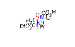 CCCC(N[C@@H](C)C(=O)N1CC2CCCCC2C1C(=O)O)C(=O)OCC